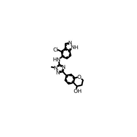 Cn1nc(-c2ccc3c(c2)OCCC3O)nc1Nc1ccc2[nH]ncc2c1Cl